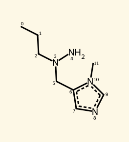 CCCN(N)Cc1cncn1C